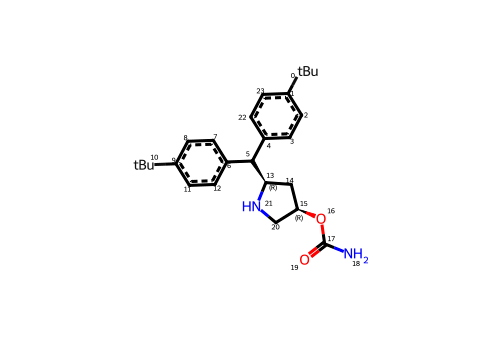 CC(C)(C)c1ccc(C(c2ccc(C(C)(C)C)cc2)[C@H]2C[C@@H](OC(N)=O)CN2)cc1